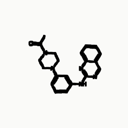 CC(=O)N1CCN(c2cccc(Nc3ncc4ccccc4n3)c2)CC1